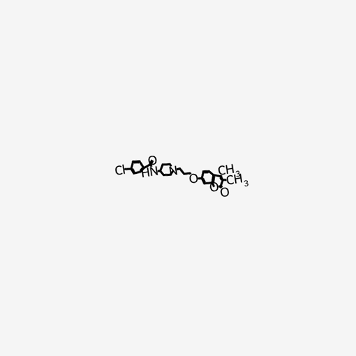 Cc1c(C)c2ccc(OCCCN3CCC(NC(=O)c4ccc(Cl)cc4)CC3)cc2oc1=O